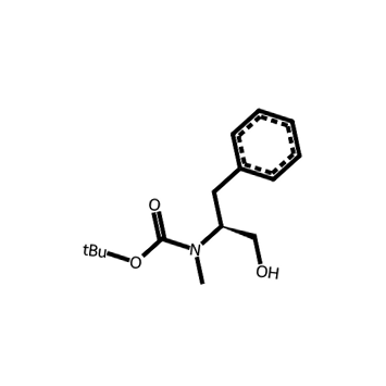 CN(C(=O)OC(C)(C)C)[C@H](CO)Cc1ccccc1